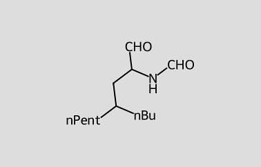 CCCCCC(CCCC)CC(C=O)NC=O